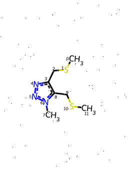 CSCc1nnn(C)c1CSC